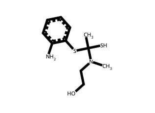 CN(CCO)C(C)(S)Sc1ccccc1N